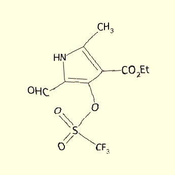 CCOC(=O)c1c(C)[nH]c(C=O)c1OS(=O)(=O)C(F)(F)F